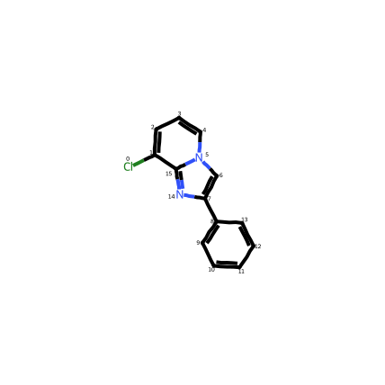 Clc1cccn2cc(-c3ccccc3)nc12